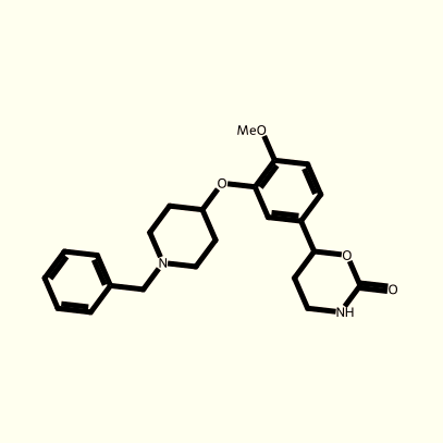 COc1ccc(C2CCNC(=O)O2)cc1OC1CCN(Cc2ccccc2)CC1